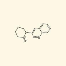 [O-][S+]1CCCCC1c1cnc2ccccc2c1